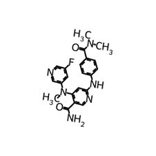 CN(C)C(=O)c1ccc(Nc2cc(N(C)c3cncc(F)c3)c(C(N)=O)cn2)cc1